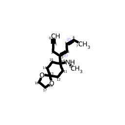 C#CC/C(=C\C=C/C)C1(NC)CCC2(CC1)OCCO2